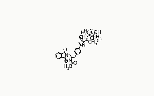 BC(=O)NC(Cc1ccc(-c2cn(C)c(C(C)CC(C)(C)[Si](C)(C)O)n2)cc1)CN1C(=O)c2ccccc2C1=O